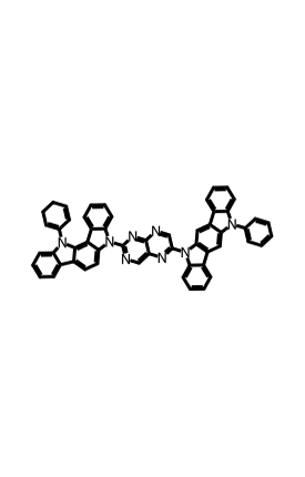 C1=CC(n2c3ccccc3c3ccc4c(c5ccccc5n4-c4ncc5nc(-n6c7ccccc7c7cc8c(cc76)c6ccccc6n8-c6ccccc6)cnc5n4)c32)=CCC1